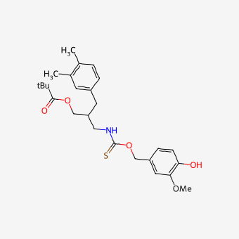 COc1cc(COC(=S)NCC(COC(=O)C(C)(C)C)Cc2ccc(C)c(C)c2)ccc1O